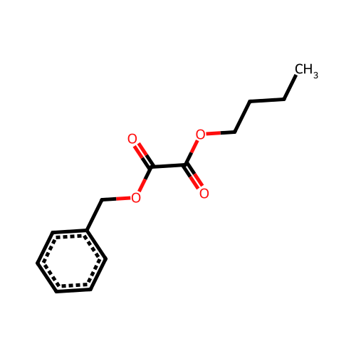 CCCCOC(=O)C(=O)OCc1ccccc1